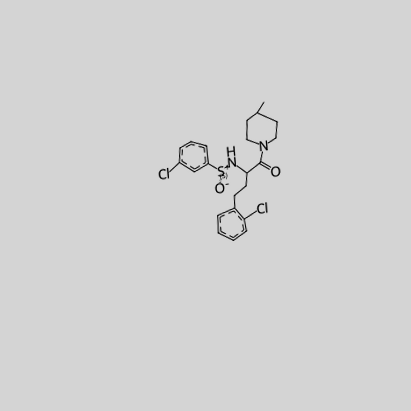 CC1CCN(C(=O)C(CCc2ccccc2Cl)N[S@+]([O-])c2cccc(Cl)c2)CC1